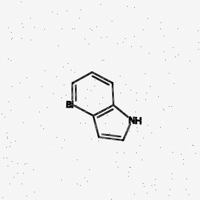 C1=Cc2[nH]cc[c]2[Bi]=[CH]1